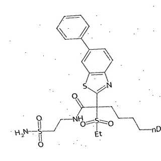 CCCCCCCCCCCCCCC(C(=O)NCCS(N)(=O)=O)(c1nc2ccc(-c3ccccc3)cc2s1)S(=O)(=O)CC